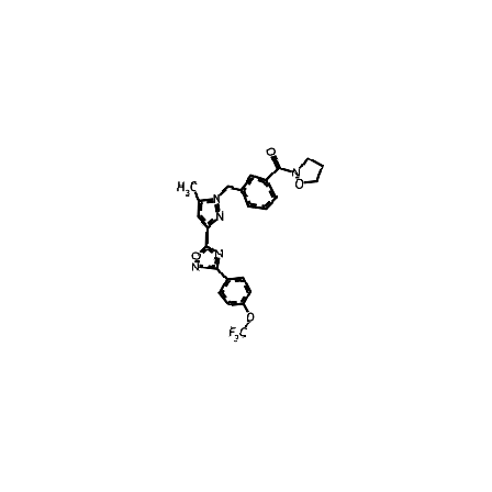 Cc1cc(-c2nc(-c3ccc(OC(F)(F)F)cc3)no2)nn1Cc1cccc(C(=O)N2CCCO2)c1